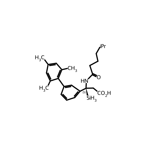 Cc1cc(C)c(-c2cccc([C@@]([SiH3])(CC(=O)O)NC(=O)CCCC(C)C)c2)c(C)c1